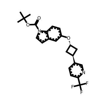 CC(C)(C)OC(=O)n1ccc2cc(O[C@H]3C[C@H](c4ccc(C(F)(F)F)nc4)C3)ccc21